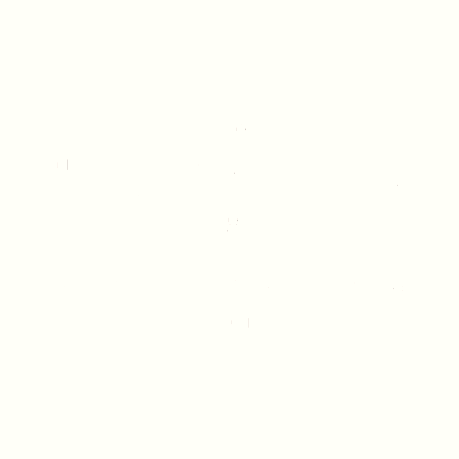 CC(C)(c1ccc(O)cc1)c1ccc(O)cc1.O=S(=O)(c1ccc(Cl)cc1)c1ccc(Cl)cc1